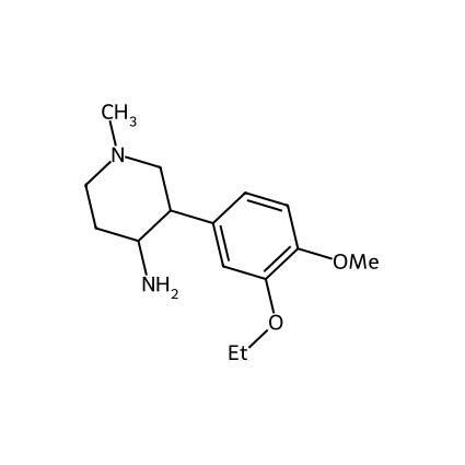 CCOc1cc(C2CN(C)CCC2N)ccc1OC